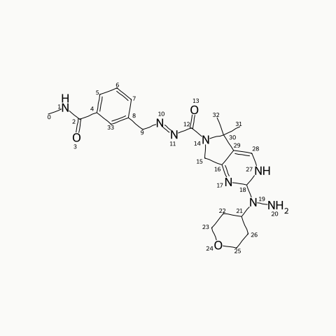 CNC(=O)c1cccc(CN=NC(=O)N2CC3=NC(N(N)C4CCOCC4)NC=C3C2(C)C)c1